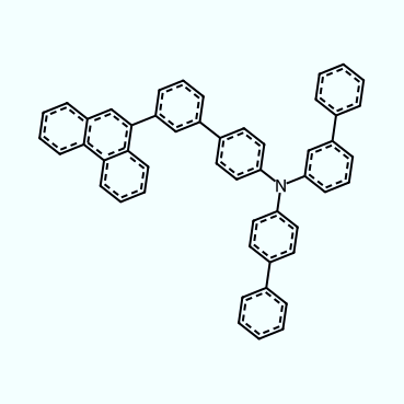 c1ccc(-c2ccc(N(c3ccc(-c4cccc(-c5cc6ccccc6c6ccccc56)c4)cc3)c3cccc(-c4ccccc4)c3)cc2)cc1